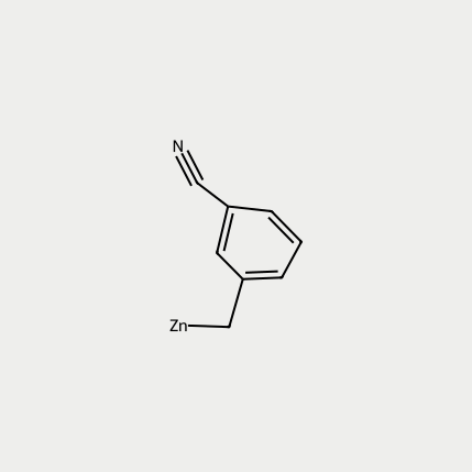 N#Cc1cccc([CH2][Zn])c1